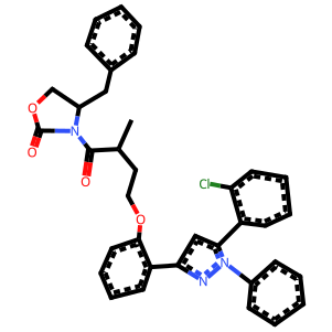 CC(CCOc1ccccc1-c1cc(-c2ccccc2Cl)n(-c2ccccc2)n1)C(=O)N1C(=O)OCC1Cc1ccccc1